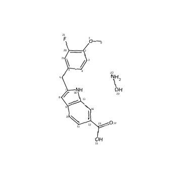 COc1ccc(Cc2cc3ccc(C(=O)O)cc3[nH]2)cc1F.NO